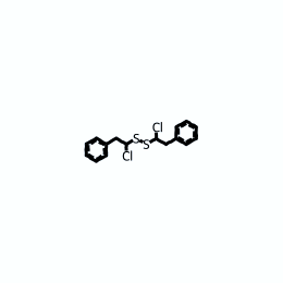 ClC(Cc1ccccc1)SSC(Cl)Cc1ccccc1